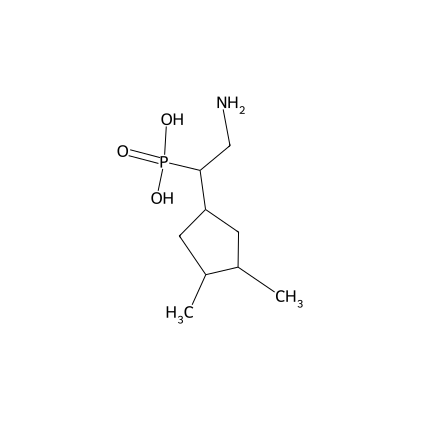 CC1CC(C(CN)P(=O)(O)O)CC1C